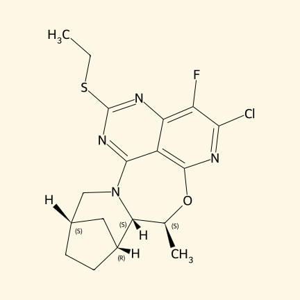 CCSc1nc2c3c(nc(Cl)c(F)c3n1)O[C@@H](C)[C@@H]1[C@@H]3CC[C@@H](C3)CN21